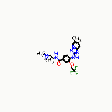 Cc1ccc2nc(Nc3ccc(C(=O)NCCN(C)C)cc3OCC(F)(F)F)nn2c1